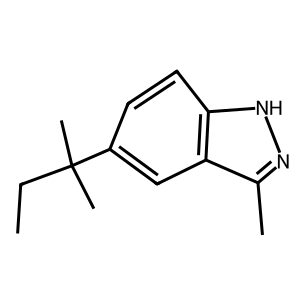 CCC(C)(C)c1ccc2[nH]nc(C)c2c1